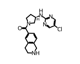 O=C(c1ccc2c(c1)CCNC2)N1CC[C@@H](Nc2ncc(Cl)cn2)C1